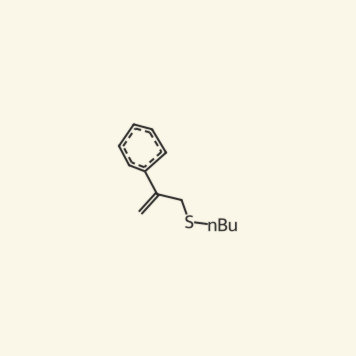 C=C(CSCCCC)c1ccccc1